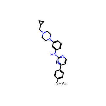 CC(=O)Nc1ccc(-c2ccnc(Nc3cccc(N4CCN(CC5CC5)CC4)c3)n2)cc1